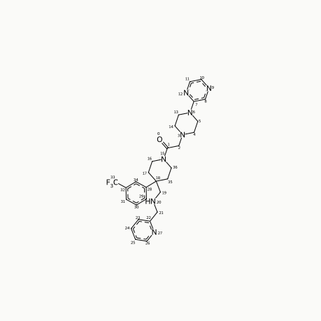 O=C(CN1CCN(c2cnccn2)CC1)N1CCC(CNCc2ccccn2)(c2cccc(C(F)(F)F)c2)CC1